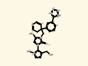 CCCCc1cn(-c2c(CO)ccn2C(C)C)c(=O)n1CC1(c2cccc(-c3nnn[nH]3)c2)C=CN=CC1